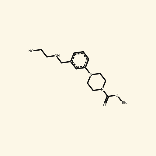 CC(C)(C)OC(=O)N1CCN(c2cccc(CNCCC#N)c2)CC1